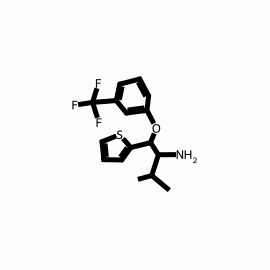 CC(C)C(N)C(Oc1cccc(C(F)(F)F)c1)c1cccs1